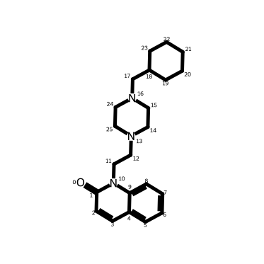 O=c1ccc2ccccc2n1CCN1CCN(CC2CCCCC2)CC1